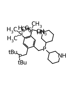 CC(C)(C)P(Cc1cc([Si](C)(C)C)c([Si](C)(C)C)cc1CP(C1CCCNC1)C1CCCNC1)C(C)(C)C